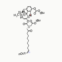 CCCCCCCC/C=C\CCCCCCCC(=O)C[C@@H](CC(=O)OC(C)(C)C)C(=O)OC1=CC[C@@]2(O)[C@H]3Cc4ccc(OC(=O)OC(C)(C)C)c5c4[C@@]2(CCN3C)[C@H]1O5